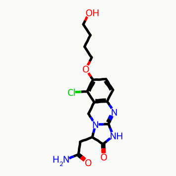 NC(=O)CC1C(=O)NC2=Nc3ccc(OCCCCO)c(Cl)c3CN21